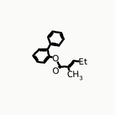 CCC=C(C)C(=O)Oc1ccccc1-c1ccccc1